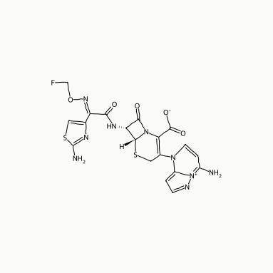 Nc1nc(/C(=N\OCF)C(=O)N[C@@H]2C(=O)N3C(C(=O)[O-])=C(n4ccc(N)[n+]5nccc4-5)CS[C@H]23)cs1